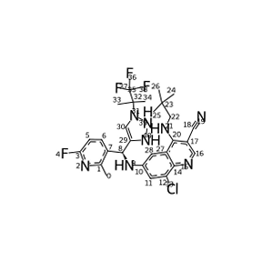 Cc1nc(F)ccc1[C@H](Nc1cc(Cl)c2ncc(C#N)c(NCC(C)(C)C)c2c1)C1=CN(C(C)(C)C(F)(F)F)NN1